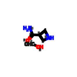 NC(=O)C1CNC1.O=CO